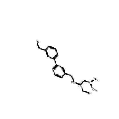 CC(C)Cc1cccc(-c2cccc(CN[C@H](CC(C)C)CN(C)C)c2)c1